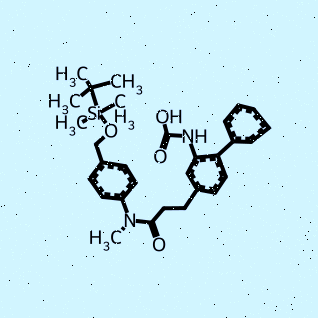 CN(C(=O)CCc1ccc(-c2ccccc2)c(NC(=O)O)c1)c1ccc(CO[Si](C)(C)C(C)(C)C)cc1